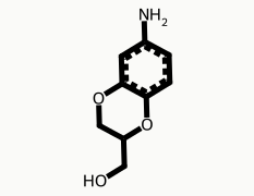 Nc1ccc2c(c1)OCC(CO)O2